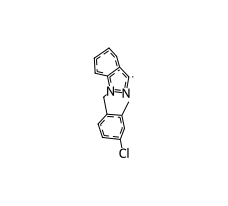 Cc1cc(Cl)ccc1Cn1n[c]c2ccccc21